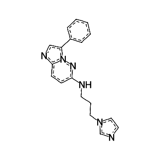 c1ccc(-c2cnc3ccc(NCCCn4ccnc4)nn23)cc1